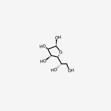 OC[C@H](O)[C@H]1O[C@H](O)[C@H](O)[C@@H]1O